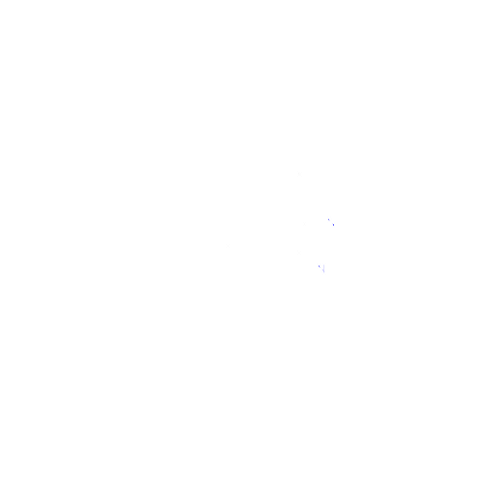 CCc1c2cc(C)c(C)cc2c(C(C)C)c2nsnc12